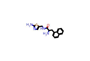 Nc1ncc(CNC(=O)C(N)Cc2cccc3ccccc23)s1